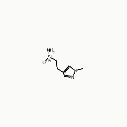 Cn1cc([CH]C[S@@+](N)[O-])cn1